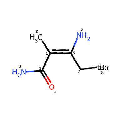 CC(C(N)=O)=C(N)CC(C)(C)C